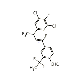 CC(F)(F)c1cc(/C(F)=C/C(c2cc(Cl)c(F)c(Cl)c2)C(F)(F)F)ccc1C=O